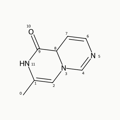 CC1=CN2C=NC=CC2C(=O)N1